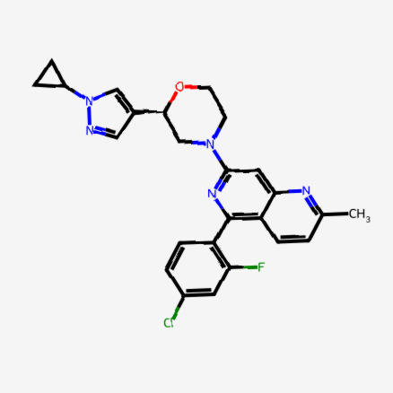 Cc1ccc2c(-c3ccc(Cl)cc3F)nc(N3CCO[C@H](c4cnn(C5CC5)c4)C3)cc2n1